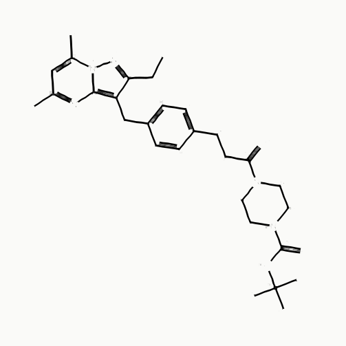 CCc1nn2c(C)cc(C)nc2c1Cc1ccc(CCC(=O)N2CCN(C(=O)OC(C)(C)C)CC2)cc1